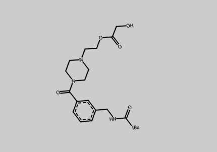 CC(C)(C)C(=O)NCc1cccc(C(=O)N2CCN(CCOC(=O)CO)CC2)c1